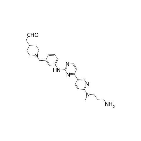 CN(CCCN)c1ccc(-c2ccnc(Nc3cccc(CN4CCC(CC=O)CC4)c3)n2)cn1